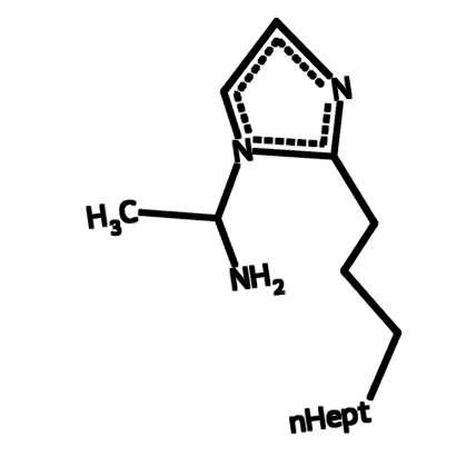 CCCCCCCCCCc1nccn1C(C)N